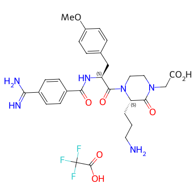 COc1ccc(C[C@H](NC(=O)c2ccc(C(=N)N)cc2)C(=O)N2CCN(CC(=O)O)C(=O)[C@@H]2CCCN)cc1.O=C(O)C(F)(F)F